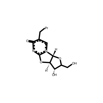 CC(C)Cc1cn2c(nc1=O)O[C@H]1[C@H]2OC(CO)[C@@H]1O